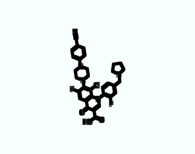 N#Cc1ccc(N2CCN(c3c(F)cc4c(=O)c(C(=O)O)cn(-c5ccc(CN6CCCC6)cc5F)c4c3Cl)CC2)cc1